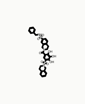 O=C(c1cc(S(=O)(=O)N2CCc3ccccc3C2)c(O)c(O)c1O)N1CCc2ccc(S(=O)(=O)NCc3ccccc3)cc2C1